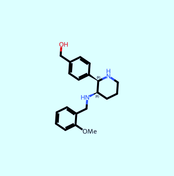 COc1ccccc1CN[C@@H]1CCCN[C@@H]1c1ccc(CO)cc1